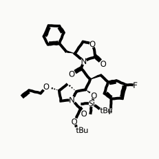 C=CCO[C@@H]1C[C@H]([C@@H](O[Si](C)(C)C(C)(C)C)[C@H](Cc2cc(F)cc(F)c2)C(=O)N2C(=O)OC[C@@H]2Cc2ccccc2)N(C(=O)OC(C)(C)C)C1